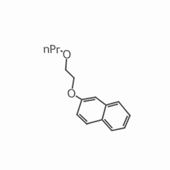 CCCOCCOc1ccc2ccccc2c1